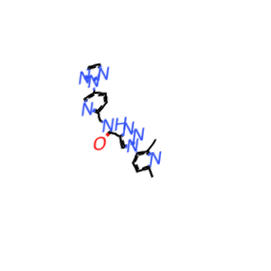 Cc1ccc(-n2cc(C(=O)NCc3ccc(-n4nccn4)cn3)nn2)c(C)n1